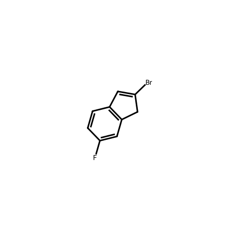 Fc1ccc2c(c1)CC(Br)=C2